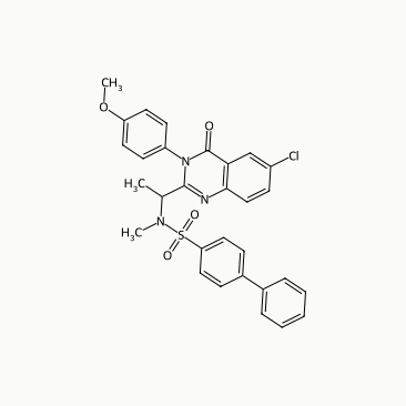 COc1ccc(-n2c(C(C)N(C)S(=O)(=O)c3ccc(-c4ccccc4)cc3)nc3ccc(Cl)cc3c2=O)cc1